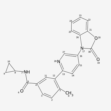 Cc1ccc(C(=O)NC2CC2)cc1-c1ccc(-n2c(=O)oc3ccccc32)cn1